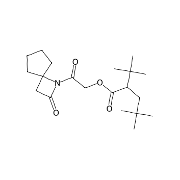 CC(C)(C)CC(C(=O)OCC(=O)N1C(=O)CC12CCCC2)C(C)(C)C